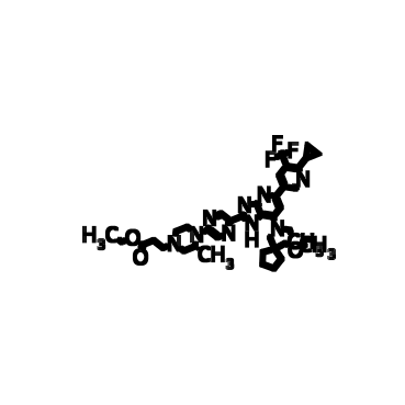 CCOC(=O)CCN1CCN(c2cnc(-c3nc4nc(-c5cnc(C6CC6)c(C(F)(F)F)c5)cc(N(CC)CC5(COC)CCCC5)c4[nH]3)cn2)[C@H](C)C1